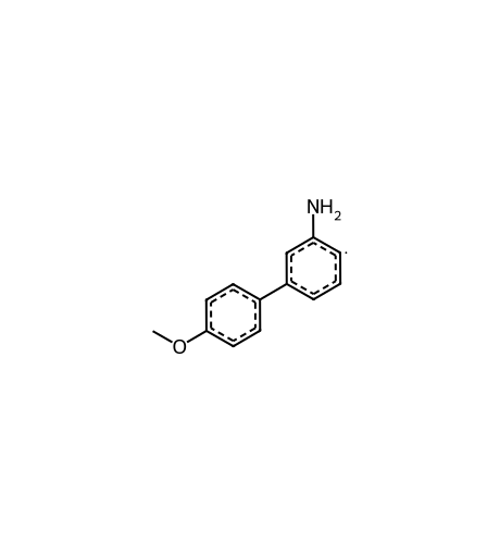 COc1ccc(-c2cc[c]c(N)c2)cc1